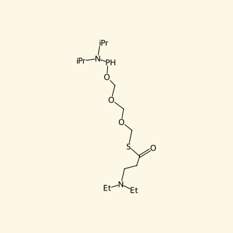 CCN(CC)CCC(=O)SCOCOCOPN(C(C)C)C(C)C